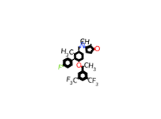 C[C@@H]1[C@@H](CN(C)C2=CC(=O)CC2)CC[C@H](O[C@H](C)c2cc(C(F)(F)F)cc(C(F)(F)F)c2)[C@H]1c1ccc(F)cc1